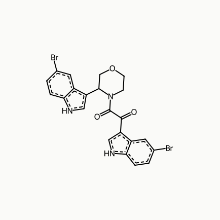 O=C(C(=O)N1CCOCC1c1c[nH]c2ccc(Br)cc12)c1c[nH]c2ccc(Br)cc12